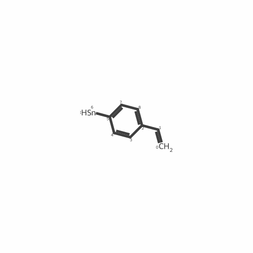 C=Cc1cc[c]([SnH])cc1